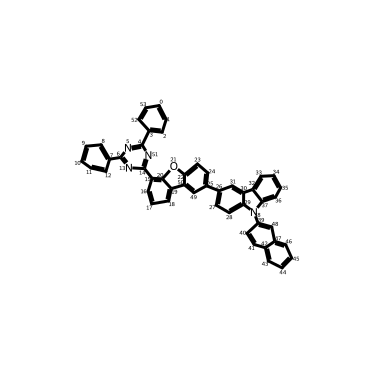 c1ccc(-c2nc(-c3ccccc3)nc(-c3cccc4c3oc3ccc(-c5ccc6c(c5)c5ccccc5n6-c5ccc6ccccc6c5)cc34)n2)cc1